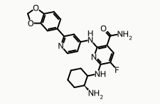 NC(=O)c1cc(F)c(NC2CCCC[C@@H]2N)nc1Nc1ccnc(-c2ccc3c(c2)OCO3)c1